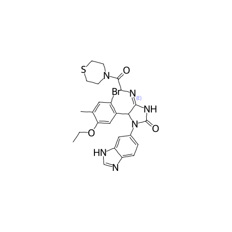 CCOc1cc(C2/C(=N\CC(=O)N3CCSCC3)NC(=O)N2c2ccc3nc[nH]c3c2)c(Br)cc1C